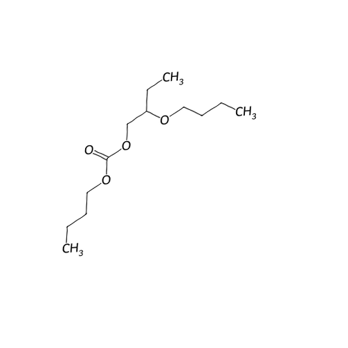 CCCCOC(=O)OCC(CC)OCCCC